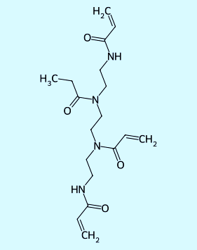 C=CC(=O)NCCN(CCN(CCNC(=O)C=C)C(=O)CC)C(=O)C=C